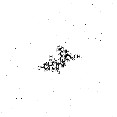 COc1cccc(-c2nnc(NS[C@@H](C)[C@H](OC)c3ncc(Cl)cn3)n2C/C(O)=C/C(=N)C(F)(F)F)n1